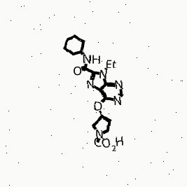 CCn1c(C(=O)NC2CCCCC2)nc2c(O[C@H]3CCN(C(=O)O)C3)ncnc21